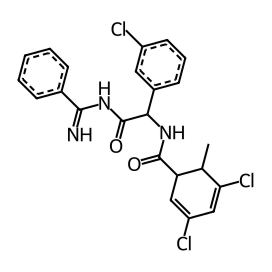 CC1C(Cl)=CC(Cl)=CC1C(=O)NC(C(=O)NC(=N)c1ccccc1)c1cccc(Cl)c1